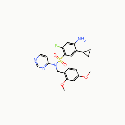 COc1ccc(CN(c2ccncn2)S(=O)(=O)c2cc(C3CC3)c(N)cc2F)c(OC)c1